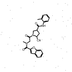 Cc1ccccc1NC(=O)C1CC(C#N)N(C(=O)CN(C)C(=O)c2cc3ccccc3o2)C1